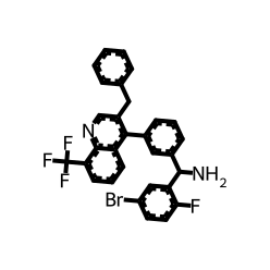 NC(c1cccc(-c2c(Cc3ccccc3)cnc3c(C(F)(F)F)cccc23)c1)c1cc(Br)ccc1F